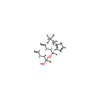 C=CCCC(C)[O-].C=CCCC(C)[O-].C[C](C)(C)[Zr+2][C]1=CC=CC1